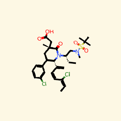 C=C(/C=C\C(Cl)=C/C)[C@@H]1C(c2cccc(Cl)c2)C[C@](C)(CC(=O)O)C(=O)N1[C@@H](CC)CN(C)S(=O)(=O)C(C)(C)C